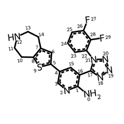 Nc1ncc(-c2cc3c(s2)CCNCC3)cc1-c1nnnn1-c1cccc(F)c1F